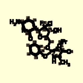 CC(C)OC(=O)[C@@H](C)N[P@](=S)(OC[C@H]1O[C@@H](n2ccc(N)nc2=O)[C@](F)(Cl)[C@@H]1O)Oc1ccccc1